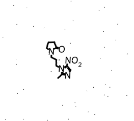 Cc1ncc([N+](=O)[O-])n1C[CH]CN1CCCC1=O